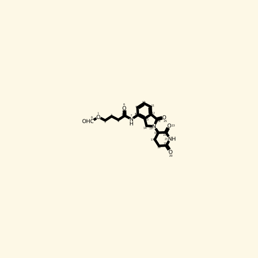 O=COCCCC(=O)Nc1cccc2c1CN(C1CCC(=O)NC1=O)C2=O